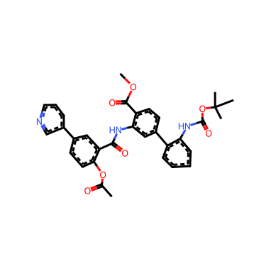 COC(=O)c1ccc(-c2ccccc2NC(=O)OC(C)(C)C)cc1NC(=O)c1cc(-c2cccnc2)ccc1OC(C)=O